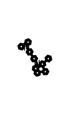 c1ccc(-c2cc3c4c5c6c(cccc6ccc5n(-c5ccc(-c6ccc(-n7c8ccccc8c8ccccc87)cc6)cc5)c4c2)-c2ccccc2-3)cc1